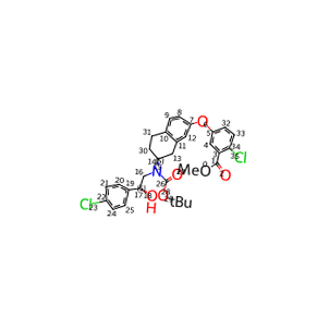 COC(=O)c1cc(Oc2ccc3c(c2)C[C@@H](N(C[C@@H](O)c2ccc(Cl)cc2)C(=O)OC(C)(C)C)CC3)ccc1Cl